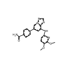 COc1ccc(Nc2cc(-c3ccc(C(N)=O)cc3)cn3ncnc23)nc1OC